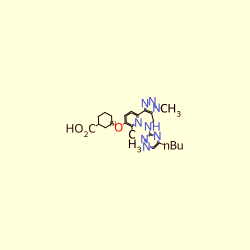 CCCCc1cnnc(NCc2c(-c3ccc(O[C@H]4CCCC(C(=O)O)C4)c(C)n3)nnn2C)n1